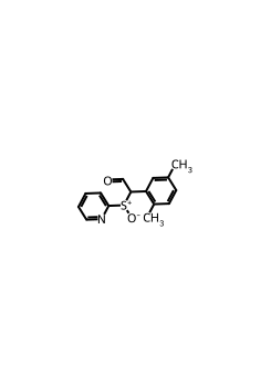 Cc1ccc(C)c(C(C=O)[S+]([O-])c2ccccn2)c1